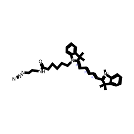 C[N+]1=C(/C=C/C=C/C=C2/N(CCCCCC(=O)NCCN=[N+]=[N-])c3ccccc3C2(C)C)C(C)(C)c2ccccc21